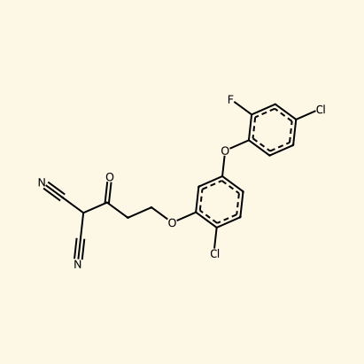 N#CC(C#N)C(=O)CCOc1cc(Oc2ccc(Cl)cc2F)ccc1Cl